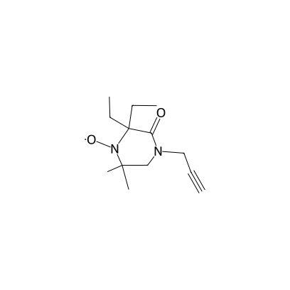 C#CCN1CC(C)(C)N([O])C(CC)(CC)C1=O